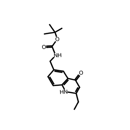 CCc1cc(=O)c2cc(CNC(=O)OC(C)(C)C)ccc2[nH]1